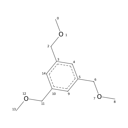 COCc1cc(COC)cc(COC)c1